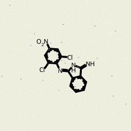 N=C1NC(=Nc2c(Cl)cc([N+](=O)[O-])cc2Cl)c2ccccc21